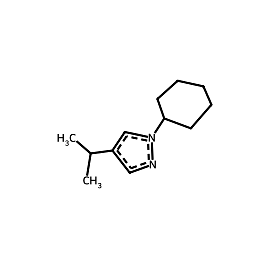 CC(C)c1cnn(C2CCCCC2)c1